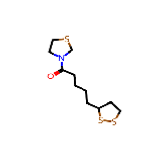 O=C(CCCCC1CCSS1)N1CCSC1